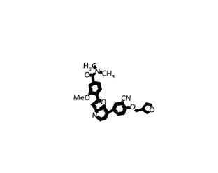 COc1cc(C(=O)N(C)C)ccc1-c1cc2nccc(-c3ccc(OCC4CCOC4)c(C#N)c3)c2o1